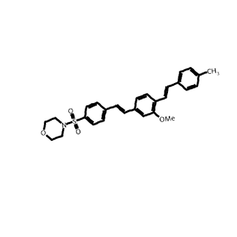 COc1cc(/C=C/c2ccc(S(=O)(=O)N3CCOCC3)cc2)ccc1/C=C/c1ccc(C)cc1